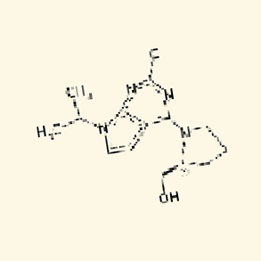 CC(C)n1ccc2c(N3CCC[C@H]3CO)nc(Cl)nc21